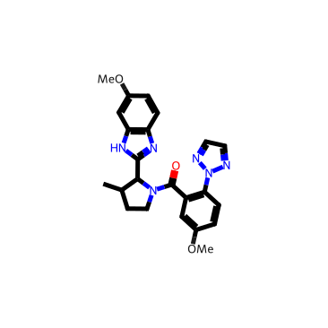 COc1ccc(-n2nccn2)c(C(=O)N2CCC(C)C2c2nc3ccc(OC)cc3[nH]2)c1